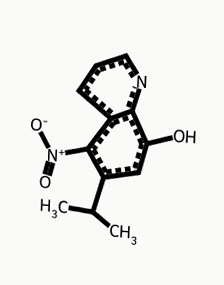 CC(C)c1cc(O)c2ncccc2c1[N+](=O)[O-]